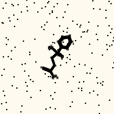 NC(=S)CCP(=O)(O)c1ccccc1